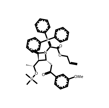 C=CCOC(=O)C(N1C(=O)[C@H]([C@@H](C)O[Si](C)(C)C)[C@H]1CC(=O)c1cccc(OC)c1)=P(c1ccccc1)(c1ccccc1)c1ccccc1